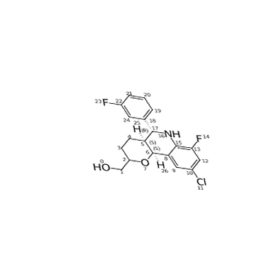 OCC1CC[C@@H]2[C@H](O1)c1cc(Cl)cc(F)c1N[C@H]2c1cccc(F)c1